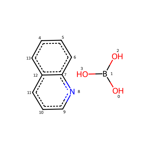 OB(O)O.c1ccc2ncccc2c1